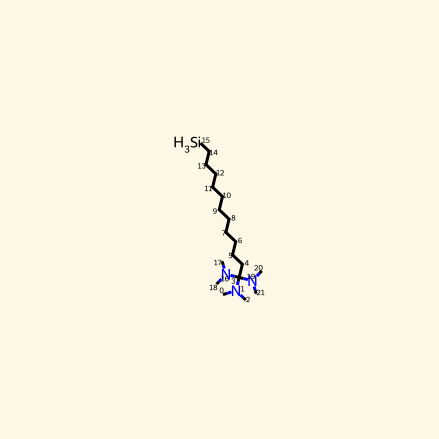 CN(C)C(CCCCCCCCCCC[SiH3])(N(C)C)N(C)C